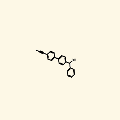 CC#Cc1ccc(-c2ccc(C(O)c3ccccc3)cc2)cc1